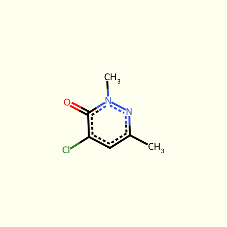 Cc1cc(Cl)c(=O)n(C)n1